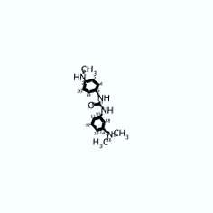 CNc1ccc(NC(=O)Nc2cccc(N(C)C)c2)cc1